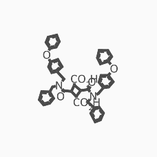 O=C(O)C1C(C(=O)N(Cc2ccccc2)Cc2ccc(Oc3ccccc3)cc2)C(C(=O)O)C1C(=O)N(Cc1ccccc1)Cc1ccc(Oc2ccccc2)cc1